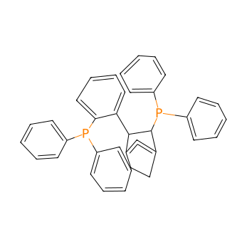 C1=C2CCC=1C(P(c1ccccc1)c1ccccc1)C2c1ccccc1P(c1ccccc1)c1ccccc1